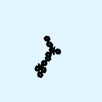 c1ccc(-c2ccc(-c3cc(-c4ccc5cc(-c6ccc(-c7nc8ccccc8c8c(-c9ccccc9)cccc78)cc6)ccc5c4)nc(-c4ccccc4)n3)cc2)cc1